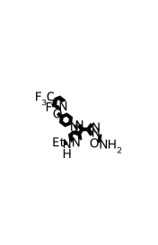 CCNc1cc2c(cn1)c(-c1cnn(CC(N)=O)c1)nn2C1CCC(Oc2nccc(C(F)(F)F)c2F)CC1